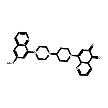 COc1cc(N2CCN(C3CCN(C4=CC(=O)C(=O)C5C=CC=NC45)CC3)CC2)c2ncccc2c1